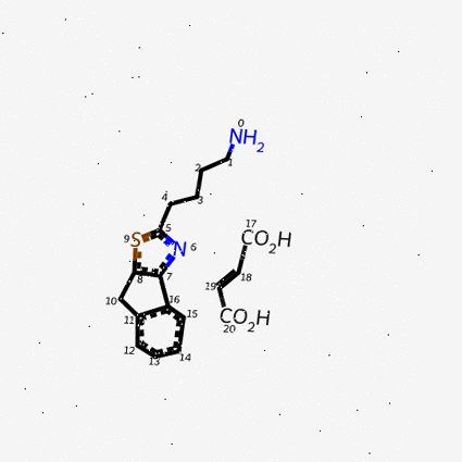 NCCCCc1nc2c(s1)Cc1ccccc1-2.O=C(O)/C=C/C(=O)O